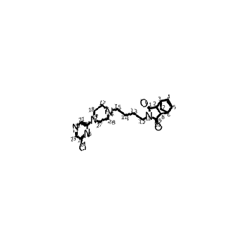 O=C1C2C3C=CC(C3)C2C(=O)N1CCCCN1CCN(c2cncc(Cl)n2)CC1